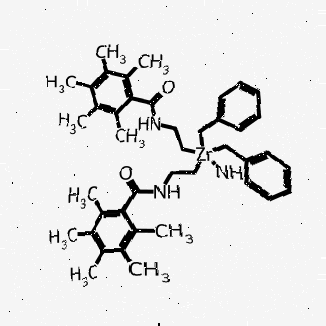 Cc1c(C)c(C)c(C(=O)NC[CH2][Zr]([NH2])([CH2]CNC(=O)c2c(C)c(C)c(C)c(C)c2C)([CH2]c2ccccc2)[CH2]c2ccccc2)c(C)c1C